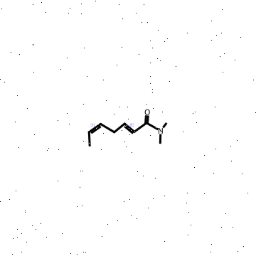 C/C=C\C/C=C/C(=O)N(C)C